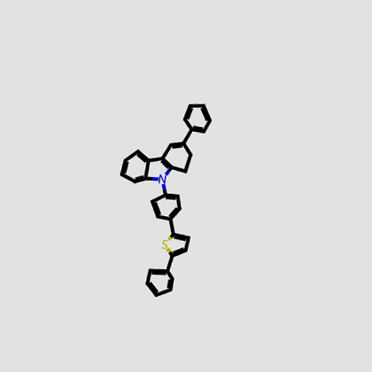 C1=C(c2ccccc2)CCc2c1c1ccccc1n2-c1ccc(-c2ccc(-c3ccccc3)s2)cc1